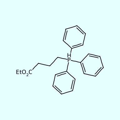 CCOC(=O)CCC[PH](c1ccccc1)(c1ccccc1)c1ccccc1